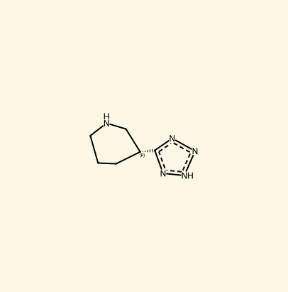 C1CNC[C@H](c2nn[nH]n2)C1